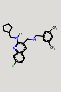 CCN(CC1CCCC1)c1nc2cc(F)ccc2cc1CNCc1cc(C(F)(F)F)cc(C(F)(F)F)c1